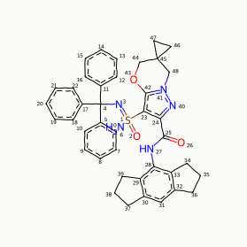 NS(=O)(=NC(c1ccccc1)(c1ccccc1)c1ccccc1)c1c(C(=O)Nc2c3c(cc4c2CCC4)CCC3)nn2c1OCC1(CC1)C2